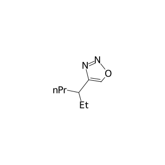 C[CH]CC(CC)c1conn1